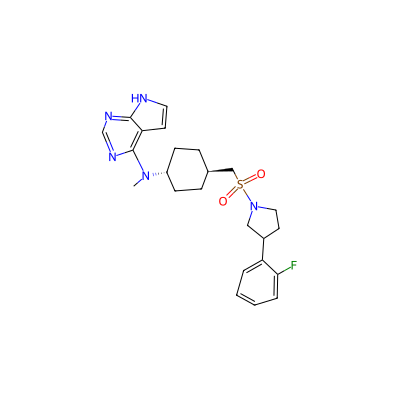 CN(c1ncnc2[nH]ccc12)[C@H]1CC[C@H](CS(=O)(=O)N2CCC(c3ccccc3F)C2)CC1